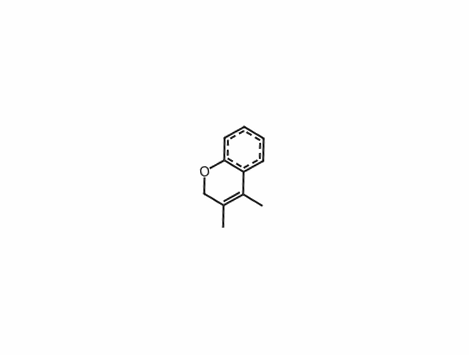 CC1=C(C)c2ccccc2OC1